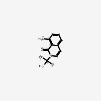 CCC(C)(C)n1ccc2cccc(C)c2c1=O